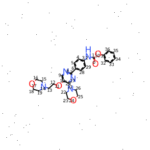 O=C(Nc1ccc(-c2ncc(OCCN3CCOCC3)c(N3CCOCC3)n2)cc1)Oc1ccccc1